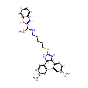 CCCCCCC(NCCCCCSc1nc(-c2ccc(OC)cc2)c(-c2ccc(OC)cc2)[nH]1)c1nc2ccccc2o1